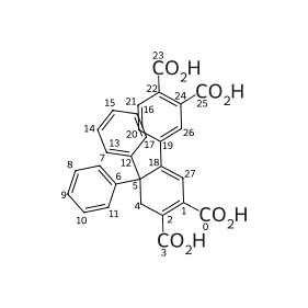 O=C(O)C1=C(C(=O)O)CC(c2ccccc2)(c2ccccc2)C(c2ccc(C(=O)O)c(C(=O)O)c2)=C1